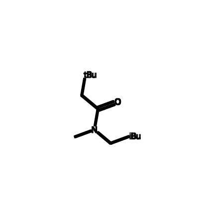 CCC(C)CN(C)C(=O)CC(C)(C)C